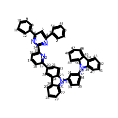 c1ccc(-c2cc(-c3ccccc3)nc(-c3cccc(-c4ccc5c(c4)c4ccccc4n5-c4cccc(-n5c6ccccc6c6ccccc65)c4)n3)n2)cc1